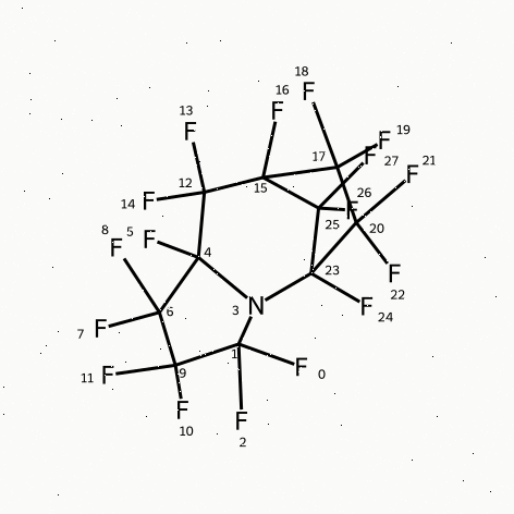 FC1(F)N2C(F)(C(F)(F)C1(F)F)C(F)(F)C1(F)C(F)(F)C(F)(F)C2(F)C1(F)F